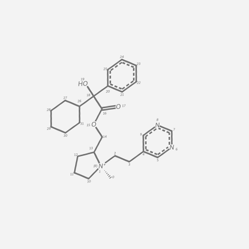 C[N@+]1(CCc2cncnc2)CCCC1COC(=O)C(O)(c1ccccc1)C1CCCCC1